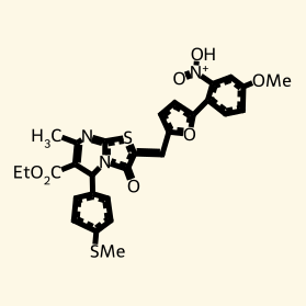 CCOC(=O)C1=C(C)N=c2s/c(=C\c3ccc(-c4ccc(OC)cc4[N+](=O)O)o3)c(=O)n2C1c1ccc(SC)cc1